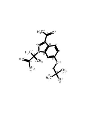 CC(=O)c1nn(C(C)(C)C(N)=O)c2cc(OCC(C)(C)O)ccc12